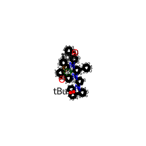 CC(C)(C)c1ccc(N(c2cccc(N(c3ccc4oc5ccccc5c4c3)c3cc(-c4ccccc4)cc(N(c4ccc5oc6ccccc6c5c4)c4csc5ccc(C(C)(C)C)cc45)c3Cl)c2)c2ccccc2-c2ccccc2)cc1